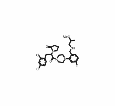 COC(C)CNCc1ccc(F)cc1N1CCN(C(=O)C(Cc2ccc(Cl)cc2Cl)N2CCCC2=O)CC1